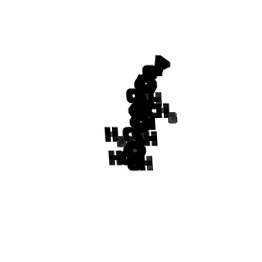 Cc1c(NC(=O)c2ccc(OCC3CC3)cc2)ccc2cc(C(C)NC3CCS(O)(O)CC3)cnc12